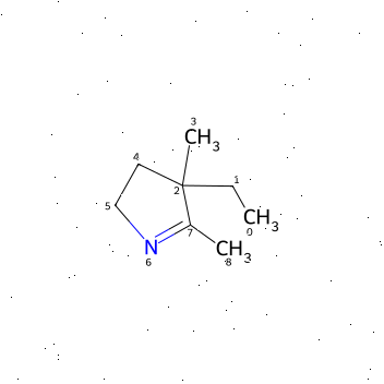 CCC1(C)CCN=C1C